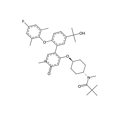 Cc1cc(F)cc(C)c1Oc1ccc(C(C)(C)O)cc1-c1cn(C)c(=O)cc1O[C@H]1CC[C@H](N(C)C(=O)C(C)(C)C)CC1